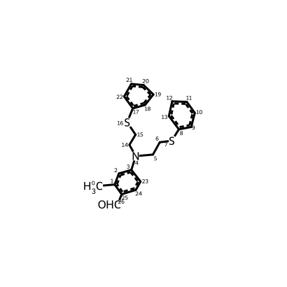 Cc1cc(N(CCSc2ccccc2)CCSc2ccccc2)ccc1C=O